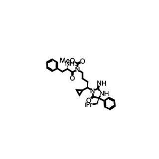 COC(=O)N(CCC[C@H](C1CC1)N1C(=N)N[C@](CC(C)C)(c2ccccc2)C1=O)C(=O)[C@@H](N)Cc1ccccc1